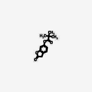 CC(C)(C)C(=O)Oc1ccc2c(c1)OC(=O)C2